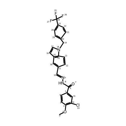 COc1ccc(C(=O)N/N=C/c2ccc3c(ccn3Cc3ccc(C(F)(F)F)cc3)c2)cc1Cl